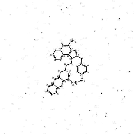 COc1ccc(Cc2nc3c(N)nc4ccccc4c3n2CCCCc2cc3ccccc3nc2C(N)=O)cc1